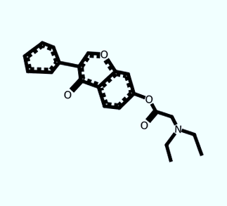 CCN(CC)CC(=O)Oc1ccc2c(=O)c(-c3ccccc3)coc2c1